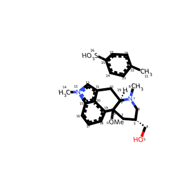 COC12C[C@@H](CO)CN(C)[C@@H]1Cc1cn(C)c3cccc2c13.Cc1ccc(S(=O)(=O)O)cc1